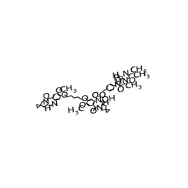 COc1cc2c(cc1OCCCCCOc1cc3c(cc1OC)C(=O)N1CC4(CC4)C[C@H]1C(O)N3C(=O)OCc1ccc(NC(=O)[C@H](C)NC(=O)[C@@H](N)C(C)C)cc1)N=C[C@@H]1CC3(CC3)CN1C2=O